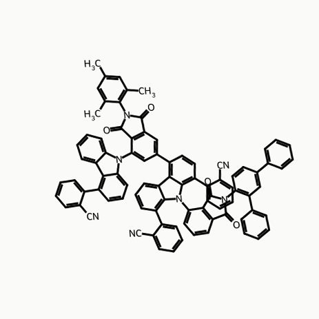 Cc1cc(C)c(N2C(=O)c3cc(-c4ccc(-c5ccccc5C#N)c5c4c4cccc(-c6ccccc6C#N)c4n5-c4cccc5c4C(=O)N(c4ccc(-c6ccccc6)cc4-c4ccccc4)C5=O)cc(-n4c5ccccc5c5c(-c6ccccc6C#N)cccc54)c3C2=O)c(C)c1